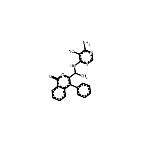 CC(Nc1ncnc(N)c1C#N)c1oc(=O)c2ccccc2c1-c1ccccc1